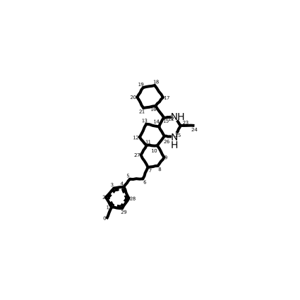 Cc1ccc(CCC2CCC3C(CCC4C(C5CCCCC5)NC(C)NC34)C2)cc1